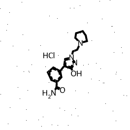 Cl.NC(=O)c1cccc(-c2cn(CCN3CCCCC3)nc2O)c1